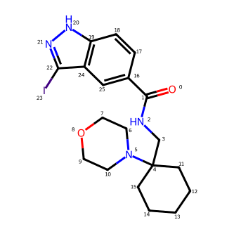 O=C(NCC1(N2CCOCC2)CCCCC1)c1ccc2[nH]nc(I)c2c1